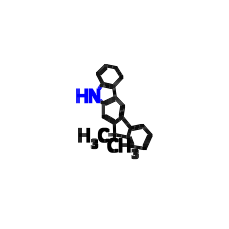 CC1(C)c2ccccc2-c2cc3c4c([nH]c3cc21)C=CCC4